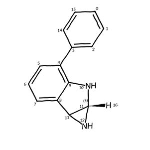 c1ccc(-c2cccc3c2N[C@@H]2NC32)cc1